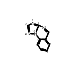 c1ccc2c(c1)cnc1ncnn12